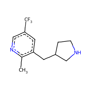 Cc1ncc(C(F)(F)F)cc1CC1CCNC1